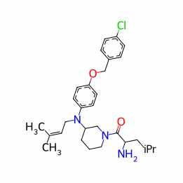 CC(C)=CCN(c1ccc(OCc2ccc(Cl)cc2)cc1)C1CCCN(C(=O)C(N)CC(C)C)C1